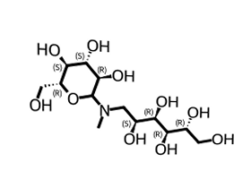 CN(C[C@H](O)[C@@H](O)[C@H](O)[C@H](O)CO)C1O[C@H](CO)[C@@H](O)[C@H](O)[C@H]1O